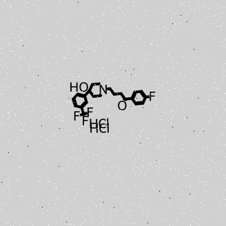 Cl.Cl.O=C(CCCN1CCC(O)(c2cccc(C(F)(F)F)c2)CC1)c1ccc(F)cc1